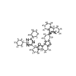 c1ccc(-c2nc(-c3ccccc3)nc(-c3cccc4c3oc3c4ccc4sc5cc(-n6c7ccccc7c7ccccc76)ccc5c43)n2)cc1